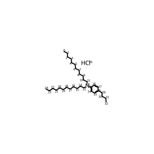 CCCCCCCCCCCCN(CCCCCCCCCCCC)c1ccc(CCCC)cc1.Cl